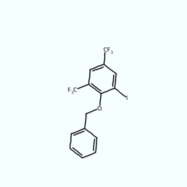 FC(F)(F)c1cc(I)c(OCc2ccccc2)c(C(F)(F)F)c1